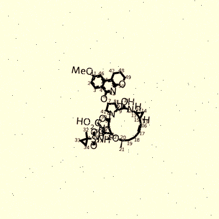 COc1ccc2c(O[C@@H]3C[C@H]4C(=O)N[C@@H]5C[C@H]5/C=C\CC[C@@H](C)O[C@](C)(C(=O)NS(=O)(=O)C5(C)CC5)[C@H](NC(=O)O)C(=O)N4C3)nc3c(c2c1)CCCO3